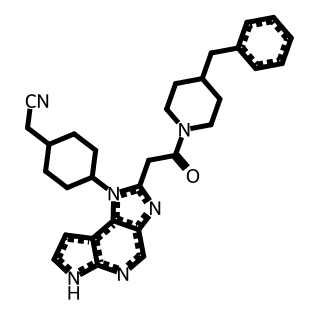 N#CCC1CCC(n2c(CC(=O)N3CCC(Cc4ccccc4)CC3)nc3cnc4[nH]ccc4c32)CC1